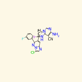 C[C@@](I)(Nc1ncnc(N)c1C#N)c1cc2ncc(Cl)n2nc1-c1cccc(F)c1